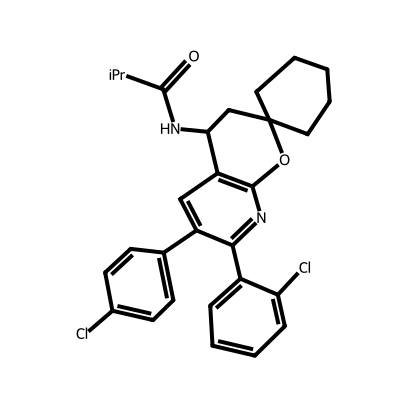 CC(C)C(=O)NC1CC2(CCCCC2)Oc2nc(-c3ccccc3Cl)c(-c3ccc(Cl)cc3)cc21